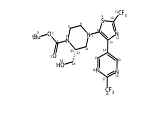 CC(C)(C)OC(=O)N1CCN(c2sc(C(F)(F)F)nc2-c2cnc(C(F)(F)F)nc2)C[C@@H]1CO